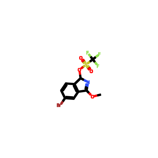 COC1=NC(OS(=O)(=O)C(F)(F)F)c2ccc(Br)cc21